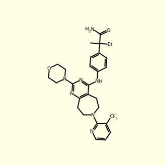 CCC(C)(C(N)=O)c1ccc(Nc2nc(N3CCOCC3)nc3c2CCN(c2ncccc2C(F)(F)F)CC3)cc1